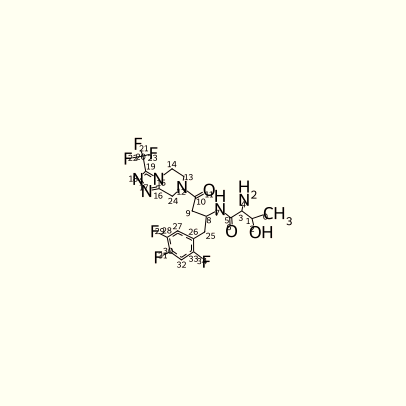 CC(O)C(N)C(=O)NC(CC(=O)N1CCn2c(nnc2C(F)(F)F)C1)Cc1cc(F)c(F)cc1F